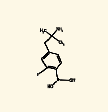 CC(C)(N)Cc1ccc(B(O)O)c(F)c1